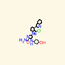 NC(=O)c1ncc(-n2nc(Cl)c3c(-c4cnc5ccccc5c4)cccc32)cc1NC1CCC(O)CC1